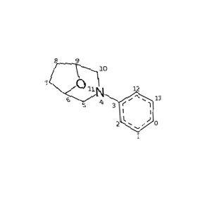 c1ccc(N2CC3CCC(C2)O3)cc1